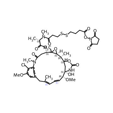 COc1cc2cc(c1Cl)N(C)C(=O)C[C@H](OC(=O)[C@H](C)N(C)C(=O)CCSSCCCC(=O)ON1C(=O)CCC1=O)[C@]1(C)O[C@H]1[C@H](C)[C@@H]1C[C@@](O)(NC(=O)O1)[C@H](OC)/C=C/C=C(\C)C2